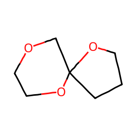 C1COC2(C1)COCCO2